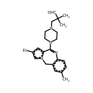 CCc1cc2n(c1)Cc1cc(C)ccc1N=C2N1CCN(CC(C)(C)C=O)CC1